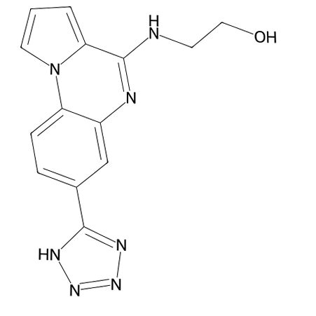 OCCNc1nc2cc(-c3nnn[nH]3)ccc2n2cccc12